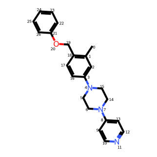 Cc1cc(N2CCN(c3ccncc3)CC2)ccc1COc1ccccc1